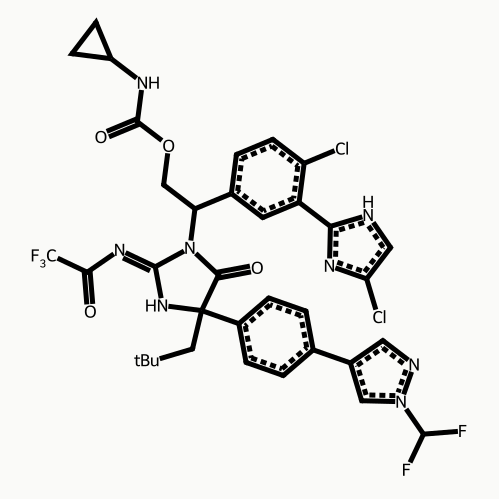 CC(C)(C)CC1(c2ccc(-c3cnn(C(F)F)c3)cc2)NC(=NC(=O)C(F)(F)F)N(C(COC(=O)NC2CC2)c2ccc(Cl)c(-c3nc(Cl)c[nH]3)c2)C1=O